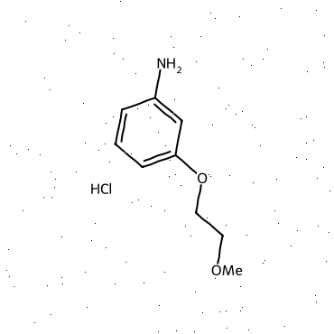 COCCOc1cccc(N)c1.Cl